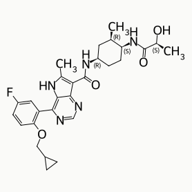 Cc1[nH]c2c(-c3cc(F)ccc3OCC3CC3)ncnc2c1C(=O)N[C@@H]1CC[C@H](NC(=O)[C@H](C)O)[C@H](C)C1